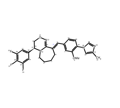 COc1cc(/C=C2\CCCCN3C2=NOC[C@@H]3c2cc(F)c(F)c(F)c2)ccc1-n1cnc(C)c1